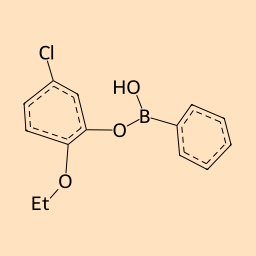 CCOc1ccc(Cl)cc1OB(O)c1ccccc1